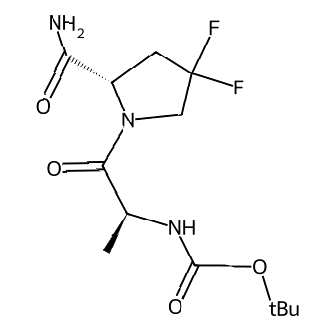 C[C@H](NC(=O)OC(C)(C)C)C(=O)N1CC(F)(F)C[C@H]1C(N)=O